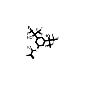 C=C(C)C(O)OC1CC(C(O)(C(F)(F)F)C(F)(F)F)CC(C(O)(C(F)(F)F)C(F)(F)F)C1